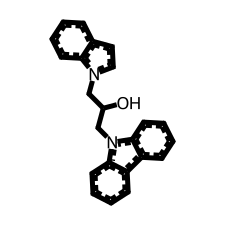 OC(Cn1ccc2ccccc21)Cn1c2ccccc2c2ccccc21